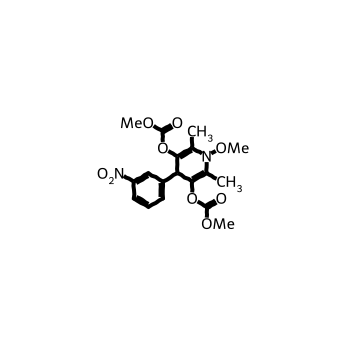 COC(=O)OC1=C(C)N(OC)C(C)=C(OC(=O)OC)C1c1cccc([N+](=O)[O-])c1